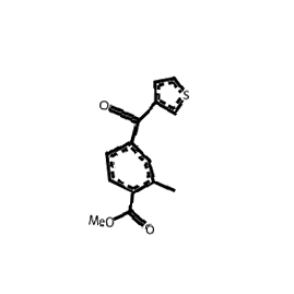 COC(=O)c1ccc(C(=O)c2ccsc2)cc1C